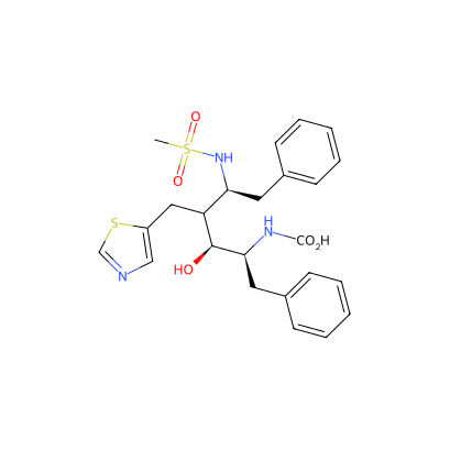 CS(=O)(=O)N[C@@H](Cc1ccccc1)C(Cc1cncs1)[C@H](O)[C@H](Cc1ccccc1)NC(=O)O